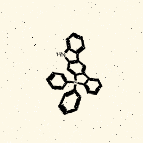 c1ccc(S2(c3ccccc3)c3ccccc3-c3cc4c(cc32)[nH]c2ccccc24)cc1